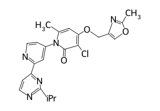 Cc1nc(COc2cc(C)n(-c3ccnc(-c4ccnc(C(C)C)n4)c3)c(=O)c2Cl)co1